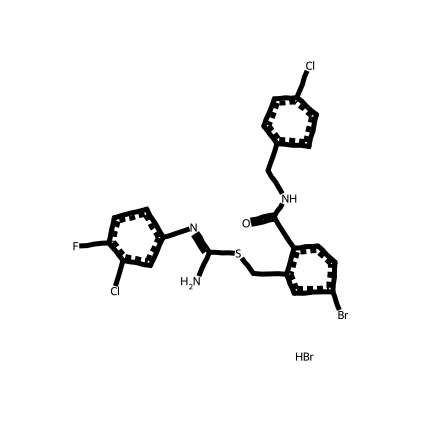 Br.N/C(=N\c1ccc(F)c(Cl)c1)SCc1cc(Br)ccc1C(=O)NCc1ccc(Cl)cc1